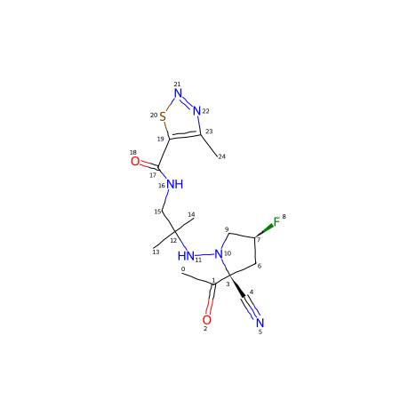 CC(=O)[C@@]1(C#N)C[C@H](F)CN1NC(C)(C)CNC(=O)c1snnc1C